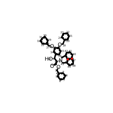 O=C(OCc1ccccc1)[C@H]([C@H](O)c1ccc(OCc2ccccc2)c(OCc2ccccc2)c1)N(Cc1ccccc1)Cc1ccccc1